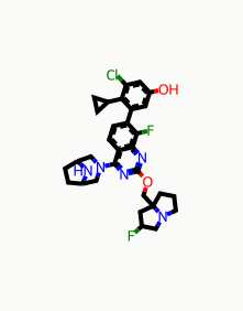 Oc1cc(Cl)c(C2CC2)c(-c2ccc3c(N4CC5CCC(C4)N5)nc(OCC45CCCN4CC(F)C5)nc3c2F)c1